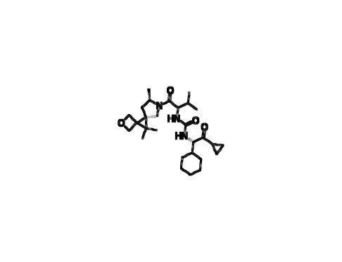 CC(C)C(NC(=O)N[C@H](C(=O)C1CC1)C1CCCCC1)C(=O)N1C[C@]2(C[C@H]1C)C(C)(C)C21COC1